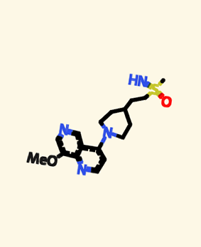 COc1cncc2c(N3CCC(CCS(C)(=N)=O)CC3)ccnc12